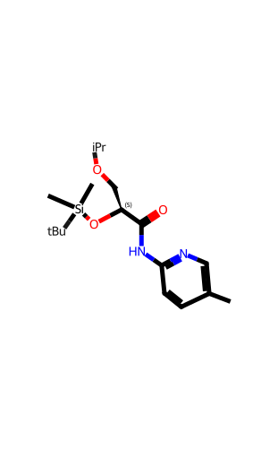 Cc1ccc(NC(=O)[C@H](COC(C)C)O[Si](C)(C)C(C)(C)C)nc1